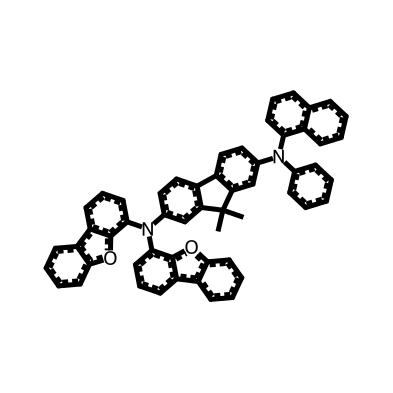 CC1(C)c2cc(N(c3ccccc3)c3cccc4ccccc34)ccc2-c2ccc(N(c3cccc4c3oc3ccccc34)c3cccc4c3oc3ccccc34)cc21